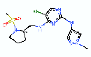 Cn1cc(Nc2ncc(Cl)c(NC[C@H]3CCCN3S(C)(=O)=O)n2)cn1